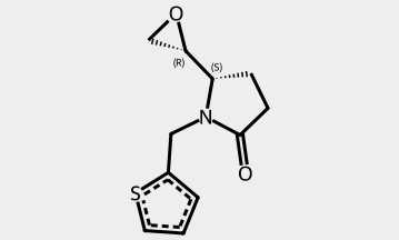 O=C1CC[C@@H]([C@@H]2CO2)N1Cc1cccs1